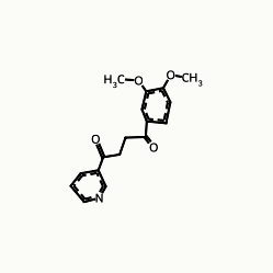 COc1ccc(C(=O)CCC(=O)c2cccnc2)cc1OC